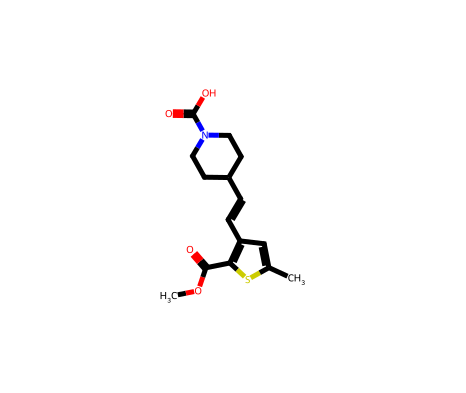 COC(=O)c1sc(C)cc1C=CC1CCN(C(=O)O)CC1